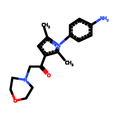 Cc1cc(C(=O)CN2CCOCC2)c(C)n1-c1ccc(N)cc1